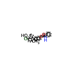 Cc1ccc(Cl)cc1C(CC(=O)O)c1ccc2ccc(OCC(=O)NC3CCCCCC3)cc2c1